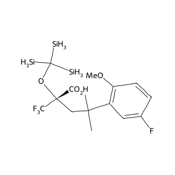 COc1ccc(F)cc1C(C)(C)C[C@](OC([SiH3])([SiH3])[SiH3])(C(=O)O)C(F)(F)F